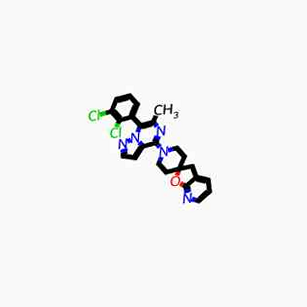 Cc1nc(N2CCC3(CC2)Cc2cccnc2O3)c2ccnn2c1-c1cccc(Cl)c1Cl